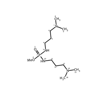 COP(=O)(NCCCN(C)C)NCCCN(C)C